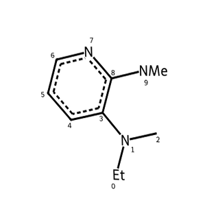 CCN(C)c1cccnc1NC